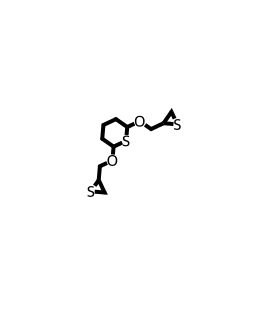 C1CC(OCC2CS2)SC(OCC2CS2)C1